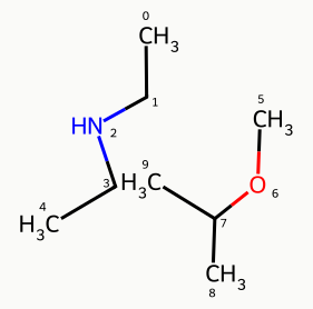 CCNCC.COC(C)C